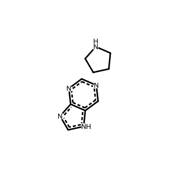 C1CCNC1.c1ncc2[nH]cnc2n1